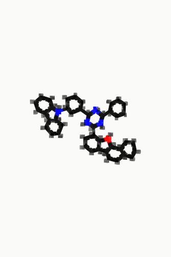 c1ccc(-c2nc(-c3cccc(-n4c5ccccc5c5ccccc54)c3)nc(-c3cccc4c3oc3c5ccccc5ccc43)n2)cc1